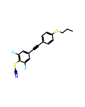 CCCSc1ccc(C#Cc2cc(F)c(SC#N)c(F)c2)cc1